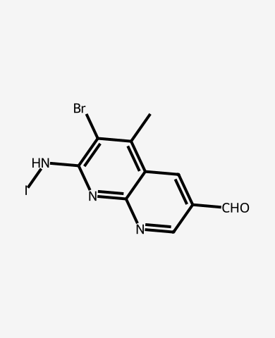 Cc1c(Br)c(NI)nc2ncc(C=O)cc12